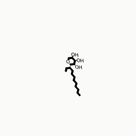 CCCCCCCCCC(CC)[C@@H]1OC[C@@H](O)[C@H](O)[C@H]1O